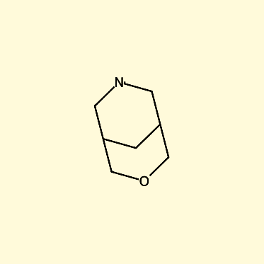 C1[N]CC2COCC1C2